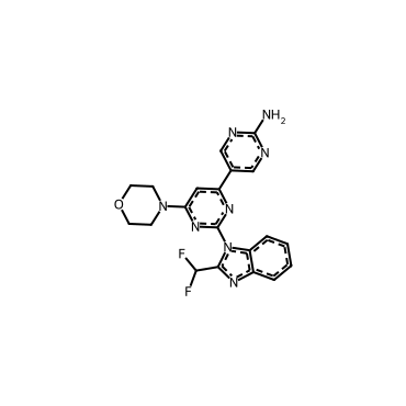 Nc1ncc(-c2cc(N3CCOCC3)nc(-n3c(C(F)F)nc4ccccc43)n2)cn1